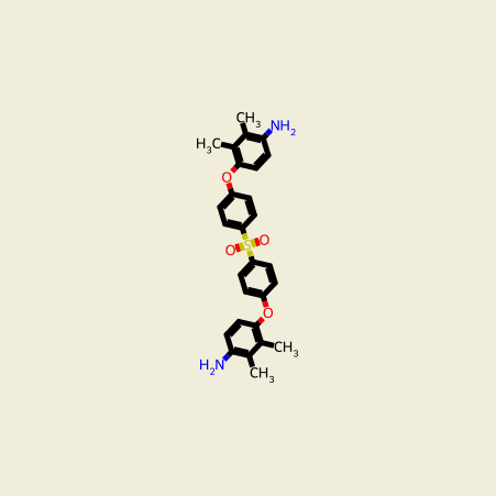 Cc1c(N)ccc(Oc2ccc(S(=O)(=O)c3ccc(Oc4ccc(N)c(C)c4C)cc3)cc2)c1C